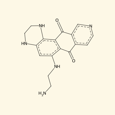 NCCNc1cc2c(c3c1C(=O)c1ccncc1C3=O)NCCN2